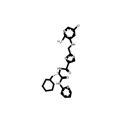 Cc1ncc(Cl)cc1NCc1ncc(C(=O)N[C@@H](CC2CCCCC2)C(=O)Nc2ccccn2)s1